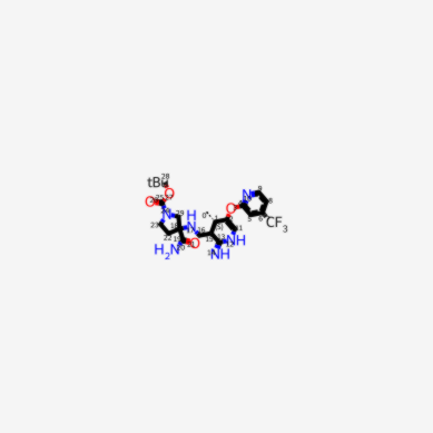 C[C@@H]1C(Oc2cc(C(F)(F)F)ccn2)=CNC(=N)C1CNC1(C(N)=O)CCN(C(=O)OC(C)(C)C)C1